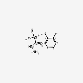 Cc1ccccc1C.NNC(=O)C(F)(F)F